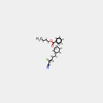 CCCCOC(=O)c1ccccc1[C@H]1CC[C@H](CCC=C(F)C#N)CC1